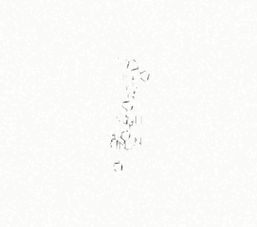 CN(C)CCC(CSc1ccccc1)Nc1ccc(S(=O)(=O)NC(=O)c2ccc(N3CCC([C@@H](O)c4ccccc4-c4ccc(Cl)cc4)CC3)cc2)cc1[N+](=O)[O-]